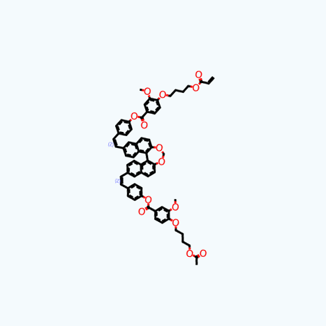 C=CC(=O)OCCCCOc1ccc(C(=O)Oc2ccc(/C=C\c3ccc4c5c(ccc4c3)OCOc3ccc4cc(/C=C\c6ccc(OC(=O)c7ccc(OCCCCOC(C)=O)c(OC)c7)cc6)ccc4c3-5)cc2)cc1OC